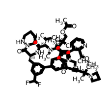 CCn1c(-c2cccnc2[C@H](C)OC)c(CC(C)(C)COC(C)=O)c2cc(-c3cc(C[C@H](NC(=O)[C@H](C(C)C)N(C)C(=O)C4CCN(C(=O)C#CC(C)(C)N5CCC5)C4)C(=O)N4CCCCN4)cc(C(F)F)c3)ccc21